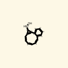 ONC1c2ccccccc3ccccc3c21